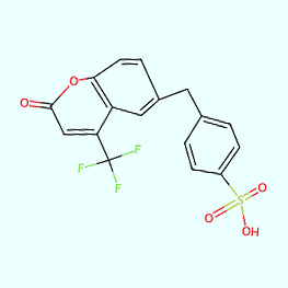 O=c1cc(C(F)(F)F)c2cc(Cc3ccc(S(=O)(=O)O)cc3)ccc2o1